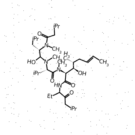 C/C=C/C[C@@H](C)[C@@H](O)[C@@H](C(=O)NC(CC)C(=O)CC(C)C)N(C)C(=O)[C@H](C(C)C)N(C)C(O)[C@H](CC(C)C)N(C)C(=O)CC(C)C